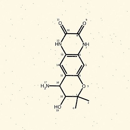 CC1(C)Oc2cc3[nH]c(=O)c(=O)[nH]c3cc2C(N)C1O